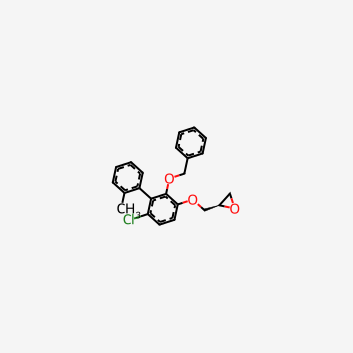 Cc1ccccc1-c1c(Cl)ccc(OC[C@H]2CO2)c1OCc1ccccc1